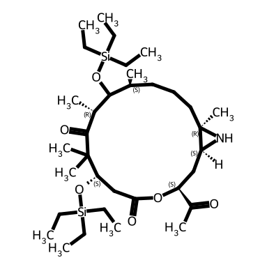 CC[Si](CC)(CC)OC1[C@@H](C)CCC[C@@]2(C)N[C@H]2C[C@@H](C(C)=O)OC(=O)C[C@H](O[Si](CC)(CC)CC)C(C)(C)C(=O)[C@@H]1C